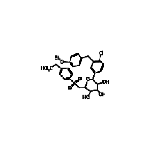 CCOc1ccc(Cc2cc(C3OC(CS(=O)(=O)c4ccc(CC(=O)O)cc4)C(O)C(O)C3O)ccc2Cl)cc1